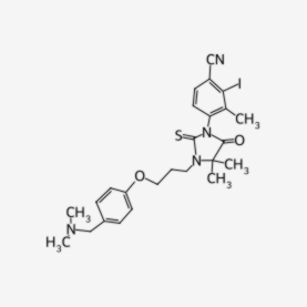 Cc1c(N2C(=O)C(C)(C)N(CCCOc3ccc(CN(C)C)cc3)C2=S)ccc(C#N)c1I